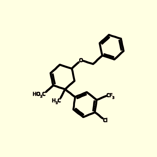 CC1(c2ccc(Cl)c(C(F)(F)F)c2)CC(OCc2ccccc2)CC=C1C(=O)O